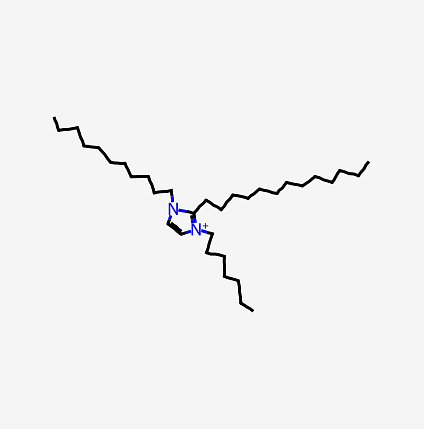 CCCCCCCCCCCCCc1n(CCCCCCCCCCC)cc[n+]1CCCCCCC